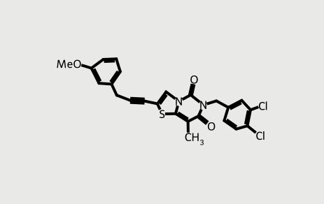 COc1cccc(CC#Cc2cn3c(=O)n(Cc4ccc(Cl)c(Cl)c4)c(=O)c(C)c3s2)c1